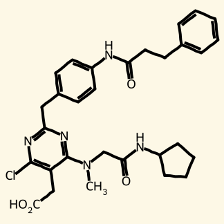 CN(CC(=O)NC1CCCC1)c1nc(Cc2ccc(NC(=O)CCc3ccccc3)cc2)nc(Cl)c1CC(=O)O